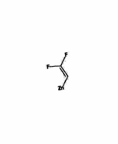 FC(F)=[CH][Zn]